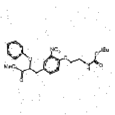 COC(=O)C(Cc1ccc(OCCNC(=O)OC(C)(C)C)c([N+](=O)[O-])c1)Oc1ccccc1